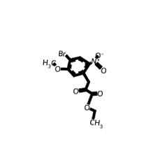 CCOC(=O)C(=O)Cc1cc(OC)c(Br)cc1[N+](=O)[O-]